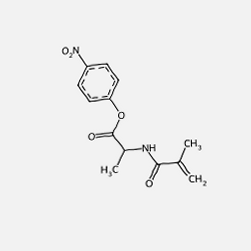 C=C(C)C(=O)NC(C)C(=O)Oc1ccc([N+](=O)[O-])cc1